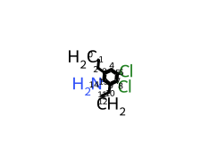 C=CCc1cc(Cl)c(Cl)c(CC=C)c1N